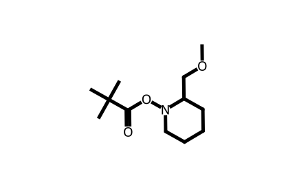 COCC1CCCCN1OC(=O)C(C)(C)C